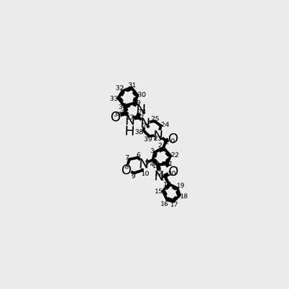 O=C(c1cc(N2CCOCC2)c2nc(-c3ccccc3)oc2c1)N1CCN(c2nc3ccccc3c(=O)[nH]2)CC1